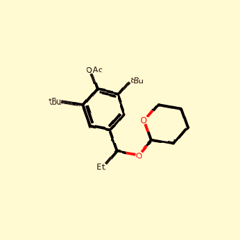 CCC(OC1CCCCO1)c1cc(C(C)(C)C)c(OC(C)=O)c(C(C)(C)C)c1